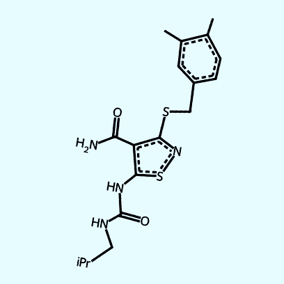 Cc1ccc(CSc2nsc(NC(=O)NCC(C)C)c2C(N)=O)cc1C